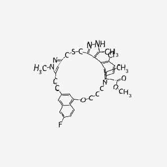 COC(=O)c1c(C)c2c3c(Cl)ccc2n1CCCOc1cc(cc2cc(F)ccc12)CCc1cc(nn1C)CSCc1n[nH]c(C)c1-3